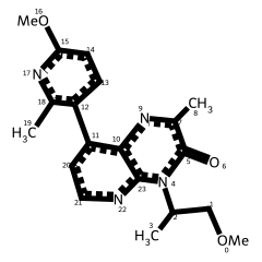 COCC(C)n1c(=O)c(C)nc2c(-c3ccc(OC)nc3C)ccnc21